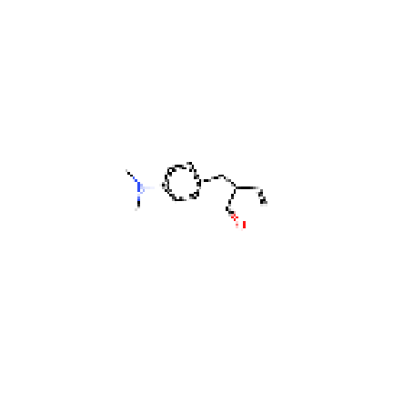 C=CC(C=O)Cc1ccc(N(C)C)cc1